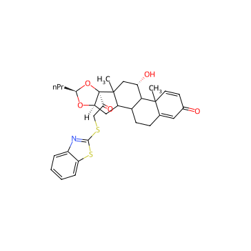 CCC[C@@H]1O[C@@H]2CC3C4CCC5=CC(=O)C=CC5(C)C4[C@@H](O)CC3(C)[C@]2(C(=O)CSc2nc3ccccc3s2)O1